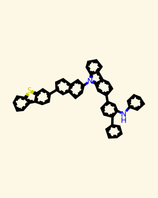 c1ccc(Nc2cc(-c3ccc4c5ccccc5n(-c5ccc6cc(-c7ccc8c(c7)sc7ccccc78)ccc6c5)c4c3)ccc2-c2ccccc2)cc1